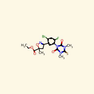 CCOC(=O)C1(C)CC(c2cc(-n3c(=O)n(C)c(=S)n(C)c3=O)c(F)cc2Br)=NO1